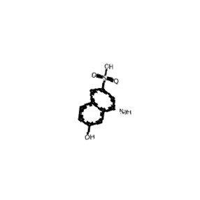 O=S(=O)(O)c1ccc2cc(O)ccc2c1.[NaH]